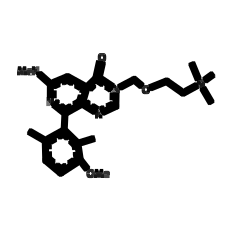 CNc1cc2c(=O)n(COCC[Si](C)(C)C)cnc2c(-c2c(C)ccc(OC)c2C)n1